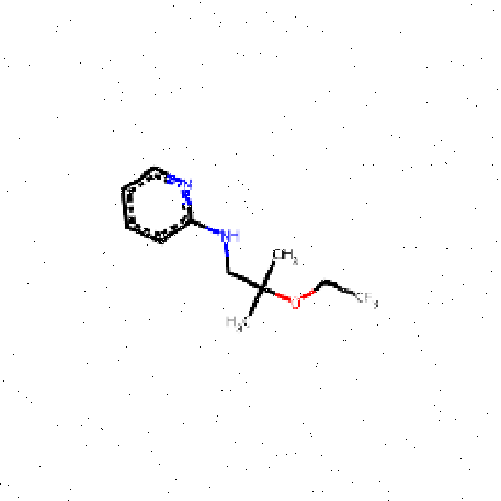 CC(C)(CNc1ccccn1)OCC(F)(F)F